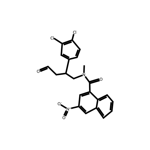 CN(CC(CC=O)c1ccc(Cl)c(Cl)c1)C(=O)c1cc([N+](=O)[O-])cc2ccccc12